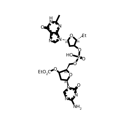 CCOC(=O)OC1C[C@H](n2cnc(N)nc2=O)O[C@@H]1COP(=O)(O)OC1C[C@H](n2cnc3c(=O)[nH]c(C)nc32)O[C@@H]1CC